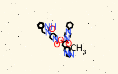 Cc1cc(CC(OC(=O)N2CCC(N3CCc4ccccc4NC3=O)CC2)C(=O)N2CCN(C3CCCCC3)CC2)cn2ccnc12